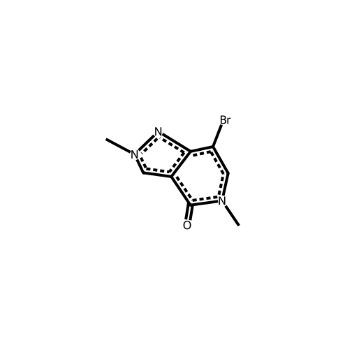 Cn1cc2c(=O)n(C)cc(Br)c2n1